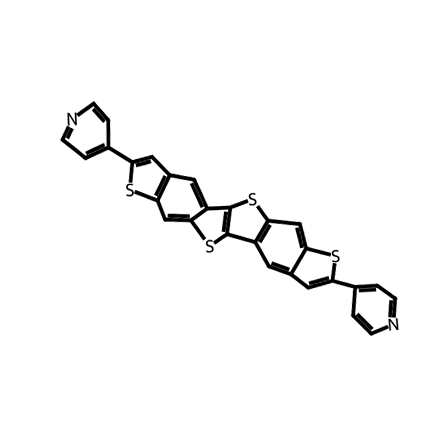 c1cc(-c2cc3cc4c(cc3s2)sc2c3cc5cc(-c6ccncc6)sc5cc3sc42)ccn1